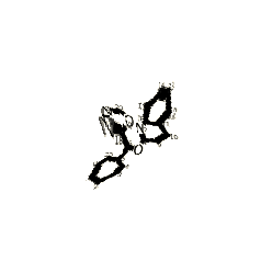 C1=CCC=CC(C(Oc2ccc3ccccc3n2)c2nnco2)=C1